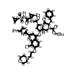 CC[C@@H]1C[C@]1(NC(=O)[C@@H]1C[C@@H](Oc2cc(-c3nc(C(C)C)cs3)nc3c(Cl)c(OCCN4CCOCC4)ccc23)[C@H]2CN(C(=O)OC(C)(C)C)[C@H](Cc3ccccc3)C(=O)N21)C(=O)NS(=O)(=O)C1CC1